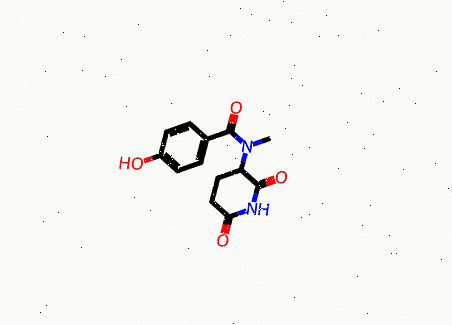 CN(C(=O)c1ccc(O)cc1)C1CCC(=O)NC1=O